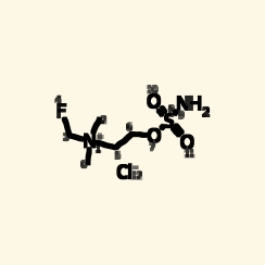 C[N+](C)(CF)CCOS(N)(=O)=O.[Cl-]